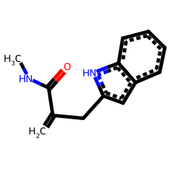 C=C(Cc1cc2ccccc2[nH]1)C(=O)NC